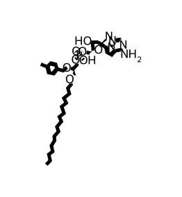 CCCCCCCCCCCCCCCCCCOC[C@H](COP(=O)(O)OC[C@H]1O[C@@](C#N)(c2ccc3c(N)ncnn23)C[C@@H]1O)OCc1ccc(C)cc1